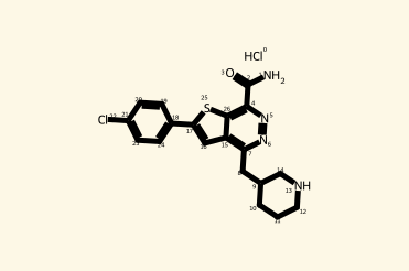 Cl.NC(=O)c1nnc(CC2CCCNC2)c2cc(-c3ccc(Cl)cc3)sc12